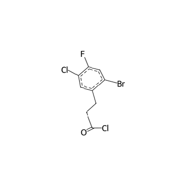 O=C(Cl)CCc1cc(Cl)c(F)cc1Br